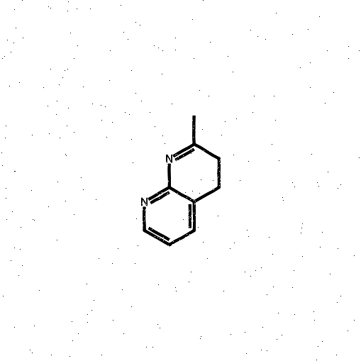 CC1=Nc2ncccc2CC1